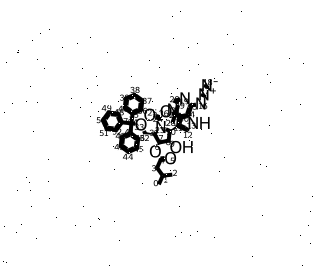 CC(C)CC(=O)O[C@H]1[C@@H](O)[C@H](c2c[nH]c3c(N=[N+]=[N-])ncnc23)N(C(=O)OC(C)(C)C)[C@@H]1COC(c1ccccc1)(c1ccccc1)c1ccccc1